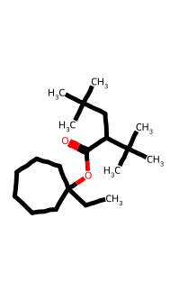 CCC1(OC(=O)C(CC(C)(C)C)C(C)(C)C)CCCCCC1